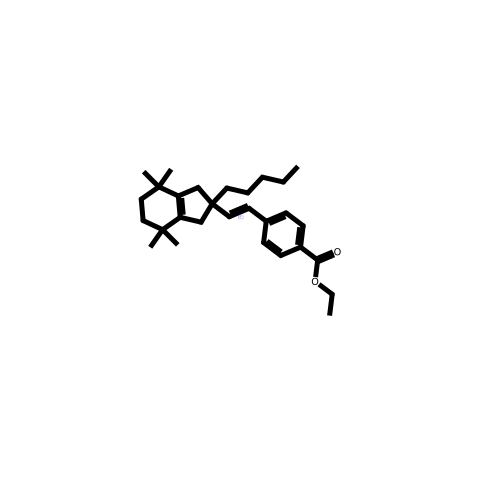 CCCCCC1(/C=C/c2ccc(C(=O)OCC)cc2)CC2=C(C1)C(C)(C)CCC2(C)C